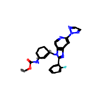 CC(C)(C)OC(=O)N[C@H]1CCC[C@@H](n2c(-c3ccccc3F)nc3cc(-n4nccn4)ncc32)C1